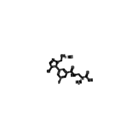 CCn1ncc(Cl)c1-c1cc(F)cc(C(=O)NC[C@@H](N)C(=O)O)c1.Cl